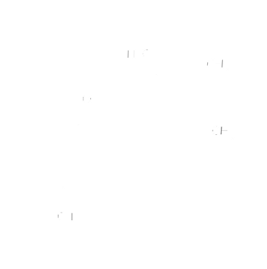 Cc1ccc2oc3c(C)c(C)c(C)cc3c2c1